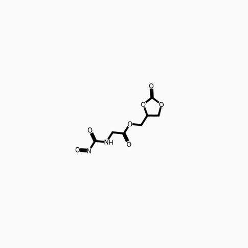 O=NC(=O)NCC(=O)OCC1COC(=O)O1